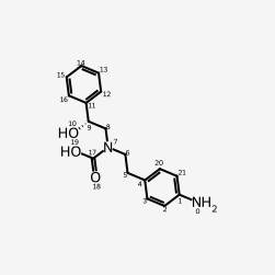 Nc1ccc(CCN(C[C@H](O)c2ccccc2)C(=O)O)cc1